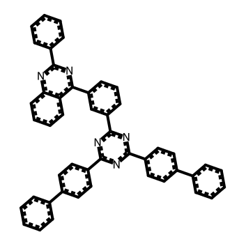 c1ccc(-c2ccc(-c3nc(-c4ccc(-c5ccccc5)cc4)nc(-c4cccc(-c5nc(-c6ccccc6)nc6ccccc56)c4)n3)cc2)cc1